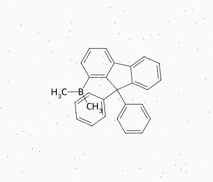 CB(C)c1cccc2c1C(c1ccccc1)(c1ccccc1)c1ccccc1-2